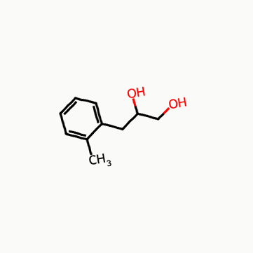 Cc1ccccc1CC(O)CO